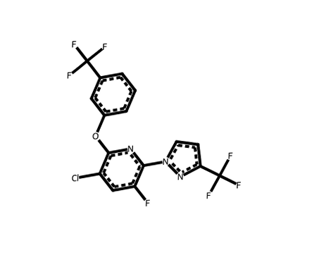 Fc1cc(Cl)c(Oc2cccc(C(F)(F)F)c2)nc1-n1ccc(C(F)(F)F)n1